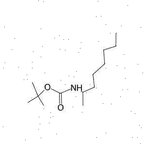 CCCCCCC(C)NC(=O)OC(C)(C)C